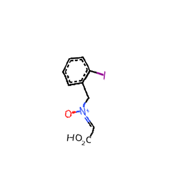 O=C(O)C=[N+]([O-])Cc1ccccc1I